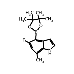 Cc1cc(F)c(B2OC(C)(C)C(C)(C)O2)c2cc[nH]c12